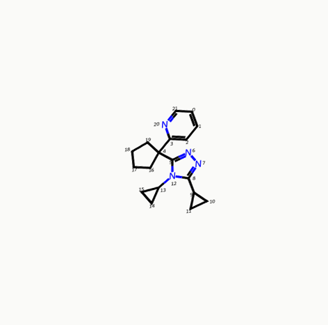 c1ccc(C2(c3nnc(C4CC4)n3C3CC3)CCCC2)nc1